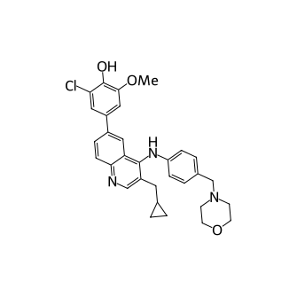 COc1cc(-c2ccc3ncc(CC4CC4)c(Nc4ccc(CN5CCOCC5)cc4)c3c2)cc(Cl)c1O